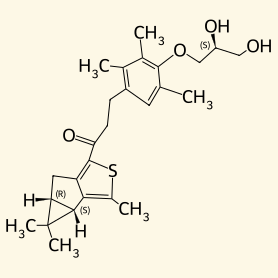 Cc1cc(CCC(=O)c2sc(C)c3c2C[C@@H]2[C@H]3C2(C)C)c(C)c(C)c1OC[C@@H](O)CO